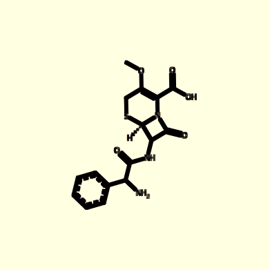 COC1=C(C(=O)O)N2C(=O)C(NC(=O)C(N)c3ccccc3)[C@H]2SC1